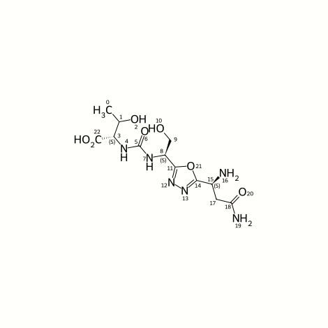 CC(O)[C@H](NC(=O)N[C@@H](CO)c1nnc([C@@H](N)CC(N)=O)o1)C(=O)O